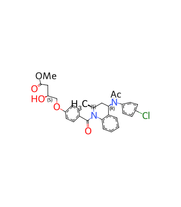 COC(=O)C[C@H](O)COc1ccc(C(=O)N2c3ccccc3[C@H](N(C(C)=O)c3ccc(Cl)cc3)C[C@@H]2C)cc1